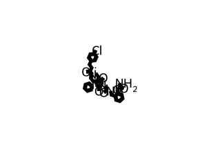 NC(=O)Oc1ccccc1CNC(=O)CN1C(=O)N(c2ccccc2)C2(CCN(C(=O)[CH]Cc3ccc(Cl)cc3)CC2)C1=O